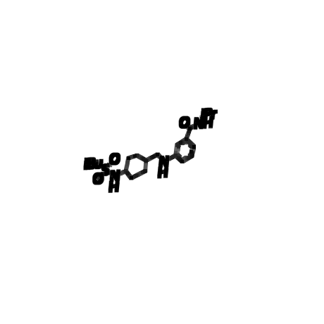 CCC(C)S(=O)(=O)NC1CCC(CNc2cccc(C(=O)NC(C)C)c2)CC1